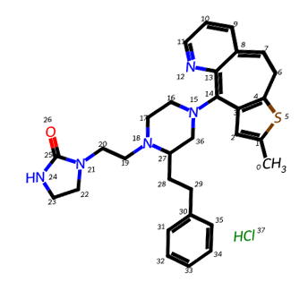 Cc1cc2c(s1)CC=c1cccnc1=C2N1CCN(CCN2CCNC2=O)C(CCc2ccccc2)C1.Cl